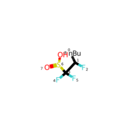 CCCCC(F)C(F)(F)S(=O)O